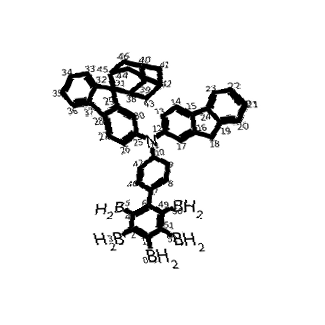 Bc1c(B)c(B)c(C2=CCC(N(c3ccc4c(c3)Cc3ccccc3-4)c3ccc4c(c3)C3(c5ccccc5-4)C4CC5CC(C4)CC3C5)C=C2)c(B)c1B